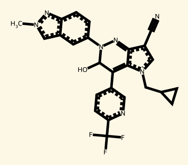 Cn1cc2cc(N3N=c4c(C#N)cn(CC5CC5)c4=C(c4ccc(C(F)(F)F)nc4)C3O)ccc2n1